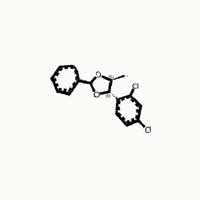 [CH2][C@@H]1OC(c2ccccc2)O[C@H]1c1ccc(Cl)cc1Cl